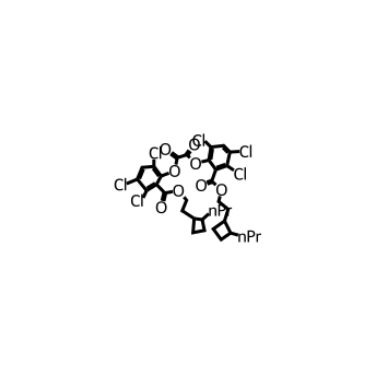 CCCC1CCC1CCOC(=O)c1c(Cl)c(Cl)cc(Cl)c1OC(=O)C(=O)Oc1c(Cl)cc(Cl)c(Cl)c1C(=O)OCCC1CCC1CCC